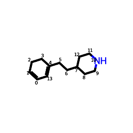 C1=CCCC(CCC2CCNCC2)=C1